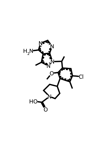 COc1c(C(C)n2nc(C)c3c(N)ncnc32)cc(Cl)c(C)c1C1CCN(C(=O)O)CC1